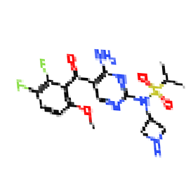 COc1ccc(F)c(F)c1C(=O)c1cnc(N(C2CNC2)S(=O)(=O)C(C)C)nc1N